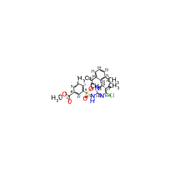 COC(=O)c1cccc(S(=O)(=O)Nc2nc(Cl)c(C)c(-c3c(C)cccc3C(C)C)n2)c1